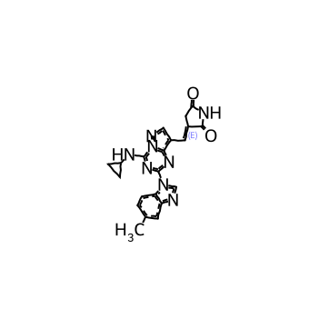 Cc1ccc2c(c1)ncn2-c1nc(NC2CC2)n2ncc(/C=C3\CC(=O)NC3=O)c2n1